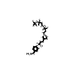 BCc1ccc(OC(=O)CCc2cn(CCC(C)(C)OCCC(C)(C)OC(C)(C)C)nn2)cc1